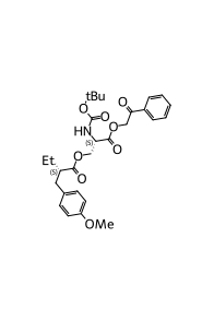 CC[C@@H](Cc1ccc(OC)cc1)C(=O)OC[C@H](NC(=O)OC(C)(C)C)C(=O)OCC(=O)c1ccccc1